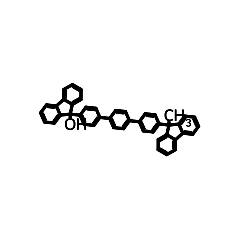 CC1(c2ccc(-c3ccc(-c4ccc(C5(O)c6ccccc6-c6ccccc65)cc4)cc3)cc2)c2ccccc2-c2ccccc21